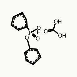 O=C(O)O.O=P(O)(Oc1ccccc1)c1ccccc1